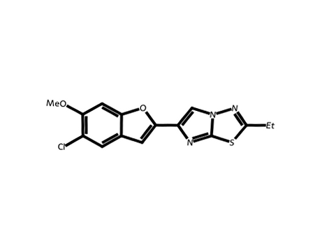 CCc1nn2cc(-c3cc4cc(Cl)c(OC)cc4o3)nc2s1